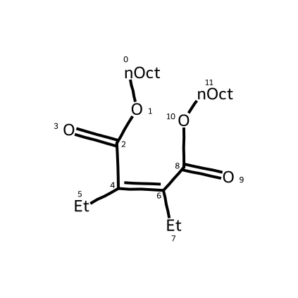 CCCCCCCCOC(=O)C(CC)=C(CC)C(=O)OCCCCCCCC